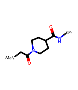 CCCNC(=O)C1CCN(C(=O)CNC)CC1